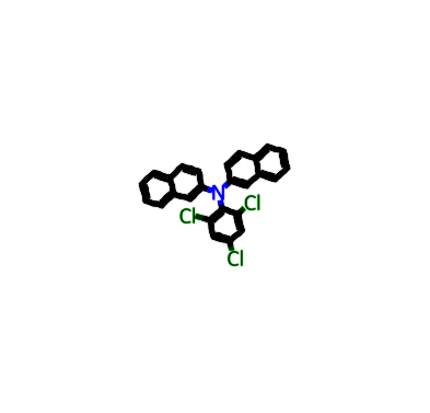 Clc1cc(Cl)c(N(c2ccc3ccccc3c2)c2ccc3ccccc3c2)c(Cl)c1